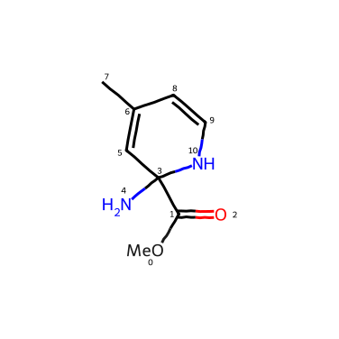 COC(=O)C1(N)C=C(C)C=CN1